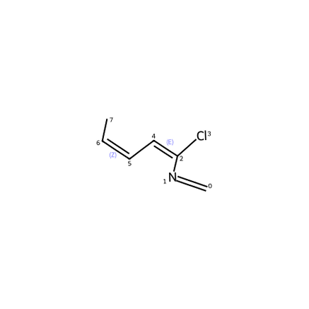 C=N/C(Cl)=C\C=C/C